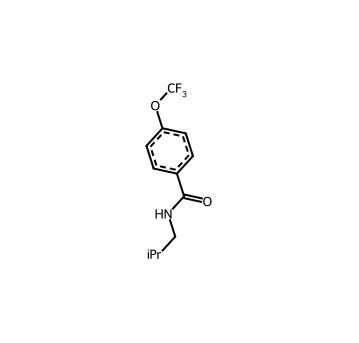 CC(C)CNC(=O)c1ccc(OC(F)(F)F)cc1